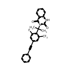 CC(C)(c1c(F)cc(C#Cc2ccccc2)cc1C(F)(F)F)n1c(=O)[nH]c2ccccc2c1=O